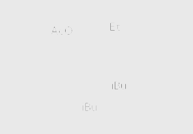 CCC(C)CC(OC(C)=O)C(C)(CC)C(C)CC